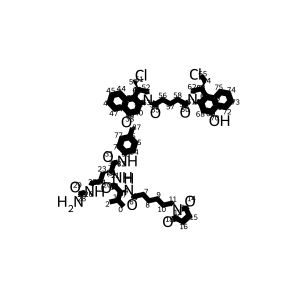 CC(C)[C@H](NC(=O)CCCCCN1C(=O)C=CC1=O)C(=O)N[C@@H](CCCNC(N)=O)C(=O)Nc1ccc(COc2cc3c(c4ccccc24)[C@@H](CCl)CN3C(=O)CCCC(=O)N2C[C@@H](CCl)c3c2cc(O)c2ccccc32)cc1